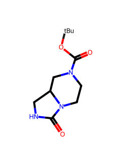 CC(C)(C)OC(=O)N1CCN2C(=O)NCC2C1